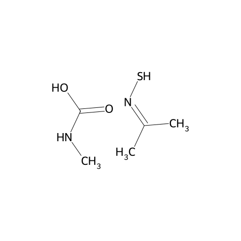 CC(C)=NS.CNC(=O)O